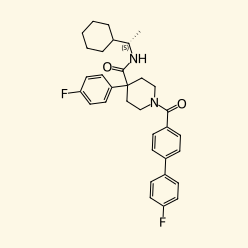 C[C@H](NC(=O)C1(c2ccc(F)cc2)CCN(C(=O)c2ccc(-c3ccc(F)cc3)cc2)CC1)C1CCCCC1